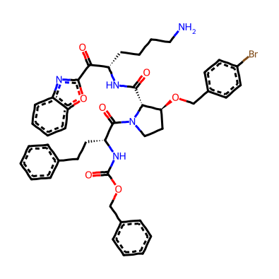 NCCCC[C@H](NC(=O)[C@@H]1[C@@H](OCc2ccc(Br)cc2)CCN1C(=O)[C@@H](CCc1ccccc1)NC(=O)OCc1ccccc1)C(=O)c1nc2ccccc2o1